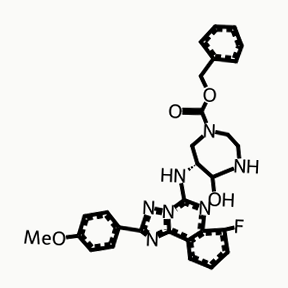 COc1ccc(-c2nc3c4cccc(F)c4nc(N[C@@H]4CN(C(=O)OCc5ccccc5)CCNC4O)n3n2)cc1